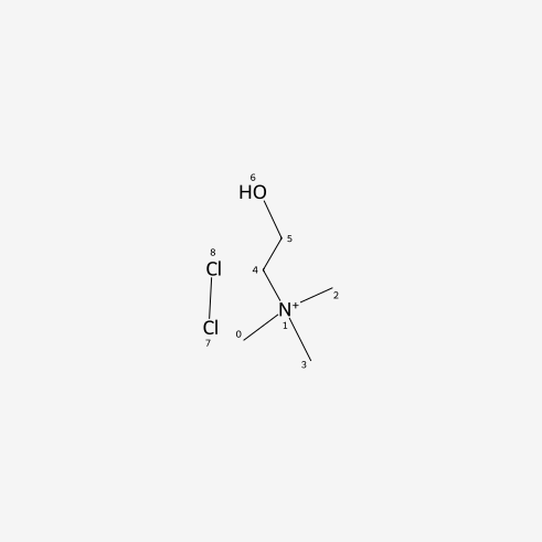 C[N+](C)(C)CCO.ClCl